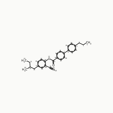 CCCc1ccc(-c2ccc(C(=O)Oc3ccc(CC(C)CC)cc3C#N)cc2)cc1